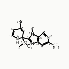 Cn1c(C2([S+](C)[O-])C=C(Br)C=CN2)nc2cc(C(F)(F)F)ncc21